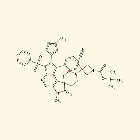 CN1C(=O)C2(CCN(C3(CC#N)CN(C(=O)OC(C)(C)C)C3)CC2)c2c1cnc1c2c(-c2ccccc2)c(-c2cnn(C)c2)n1S(=O)(=O)c1ccccc1